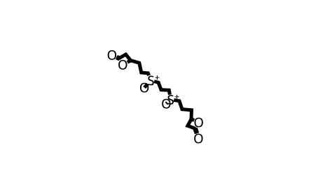 O=C1CC(CCC[S+]([O-])CCC[S+]([O-])CCCC2CC(=O)O2)O1